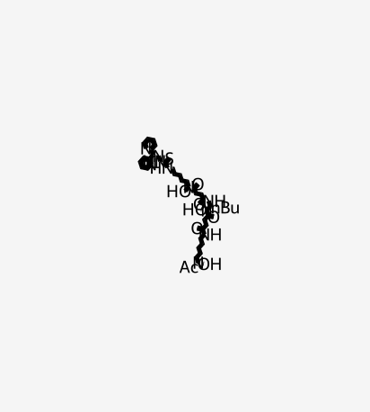 CCCCC(NC(=O)CCC(=O)N(O)CCCCCNC(=S)NN=C(c1ccccn1)c1ccccn1)N(O)C(=O)CCC(=O)NCCCCCN(O)C(C)=O